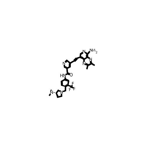 Cc1nc2c(C#Cc3cncc(C(=O)Nc4ccc(CN5CC[C@H](N(C)C)C5)c(C(F)(F)F)c4)c3)cnc(N)c2nc1C